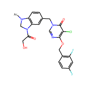 CC(=O)N1CN(C(=O)CO)c2cc(Cn3cnc(OCc4ccc(F)cc4F)c(Cl)c3=O)ccc21